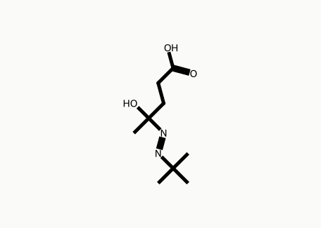 CC(C)(C)N=NC(C)(O)CCC(=O)O